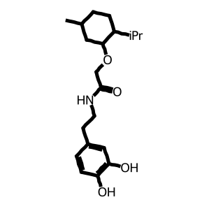 CC1CCC(C(C)C)C(OCC(=O)NCCc2ccc(O)c(O)c2)C1